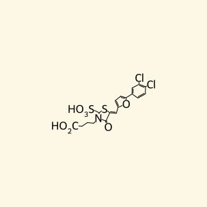 O=C(O)CCCN1C(=O)C(=Cc2ccc(-c3ccc(Cl)c(Cl)c3)o2)SC1S(=O)(=O)O